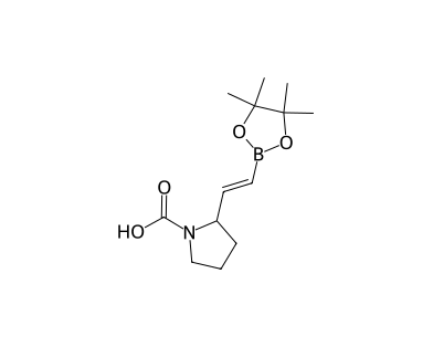 CC1(C)OB(C=CC2CCCN2C(=O)O)OC1(C)C